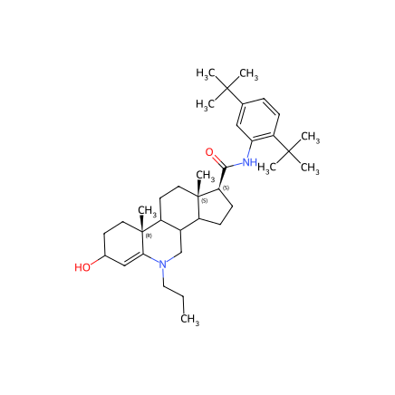 CCCN1CC2C(CC[C@@]3(C)C2CC[C@@H]3C(=O)Nc2cc(C(C)(C)C)ccc2C(C)(C)C)[C@@]2(C)CCC(O)C=C12